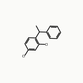 CC(c1ccccc1)c1ccc(Cl)cc1Cl